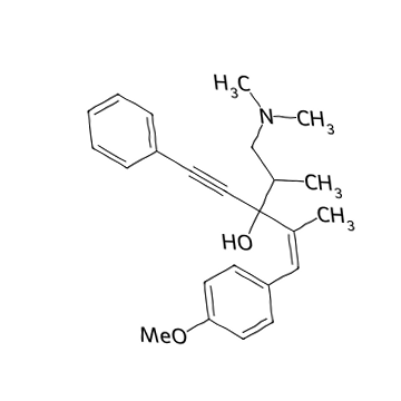 COc1ccc(C=C(C)C(O)(C#Cc2ccccc2)C(C)CN(C)C)cc1